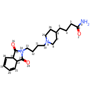 NC(=O)CCCC1CCN(CCCCN2C(=O)C3C=CC=CC3C2=O)CC1